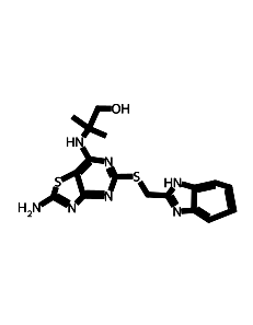 CC(C)(CO)Nc1nc(SCc2nc3ccccc3[nH]2)nc2nc(N)sc12